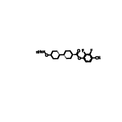 CCCCCCO[C@H]1CC[C@H]([C@H]2CC[C@H](C(=O)Oc3ccc(C#N)c(F)c3F)CC2)CC1